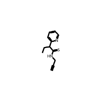 C#CCNC(=S)C(CC)c1ccccn1